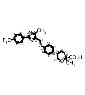 Cc1nc(-c2ccc(C(F)(F)F)cc2)sc1COc1ccc([C@H]2CO[C@](C)(C(=O)O)OC2)cc1